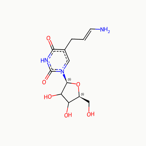 NC=CCc1cn([C@H]2O[C@@H](CO)C(O)C2O)c(=O)[nH]c1=O